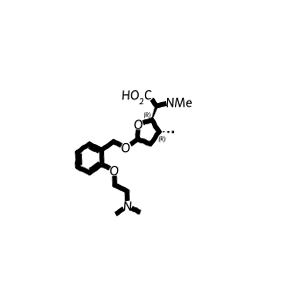 CNC(C(=O)O)[C@@H]1OC(OCc2ccccc2OCCN(C)C)C[C@H]1C